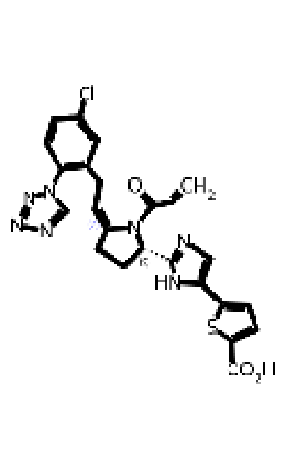 C=CC(=O)N1/C(=C\Cc2cc(Cl)ccc2-n2cnnn2)CC[C@H]1c1ncc(-c2ccc(C(=O)O)s2)[nH]1